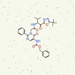 CC(C)[C@H](NC(=O)Cn1c(-c2ccccc2)ncc(NC(=O)OCc2ccccc2)c1=O)C(=O)c1nnc(C(C)(C)C)o1